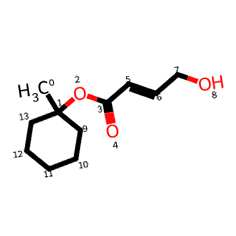 CC1(OC(=O)C=CCO)CCCCC1